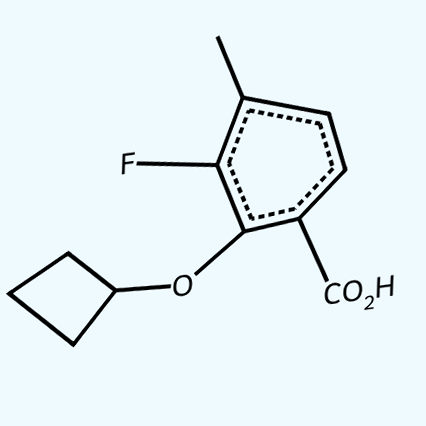 Cc1ccc(C(=O)O)c(OC2CCC2)c1F